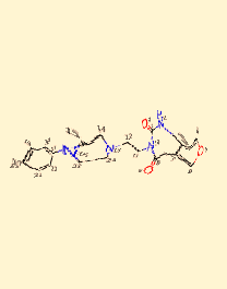 O=c1[nH]c2cocc2c(=O)n1CCN1CCN(c2ccccc2)CC1